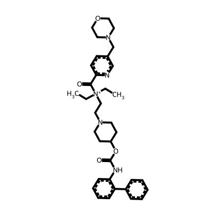 CC[N+](CC)(CCN1CCC(OC(=O)Nc2ccccc2-c2ccccc2)CC1)C(=O)c1ccc(CN2CCOCC2)cn1